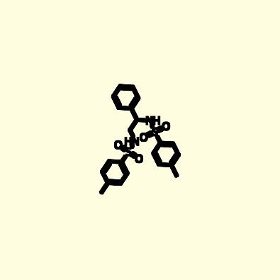 Cc1ccc(S(=O)(=O)NCC(NS(=O)(=O)c2ccc(C)cc2)c2ccccc2)cc1